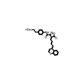 CCCCCCCCCCCCc1ccc(NC(=O)C2=NOC(=O)\C2=C/C=C/C=C2\C=CSc3ccccc32)cc1